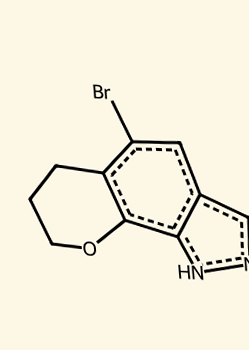 Brc1cc2cn[nH]c2c2c1CCCO2